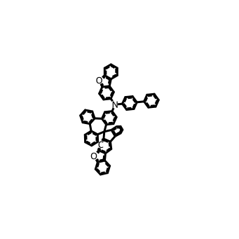 c1ccc(-c2ccc(N(c3ccc4c(c3)-c3ccccc3-c3ccccc3C43c4ccccc4-c4cc5c(cc43)oc3ccccc35)c3ccc4oc5ccccc5c4c3)cc2)cc1